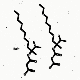 CCCCCCCCCC(C)(OC(=O)CC(=O)[O-])C(C)C.CCCCCCCCCC(C)(OC(=O)CC(=O)[O-])C(C)C.[Ba+2]